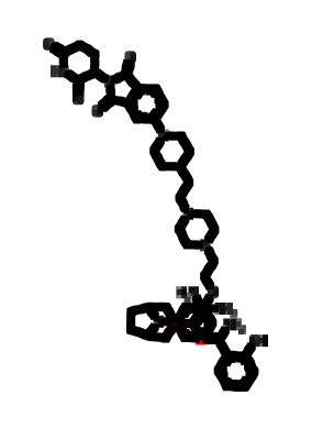 NC(N)=C(/C=C(\N)c1ccccc1O)N1CC2CCC(C1)N2c1cccc(OCCN2CCN(CCC3CCN(c4ccc5c(c4)C(=O)N(C4CCC(=O)NC4=O)C5=O)CC3)CC2)c1